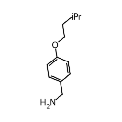 CC(C)CCOc1ccc(CN)cc1